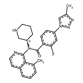 Cc1cn(-c2ccc(C(=O)N(c3nccc4cccc(C)c34)[C@@H]3CCCNC3)c(F)c2)nn1